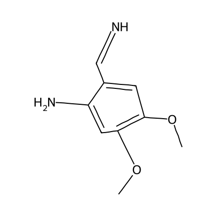 COc1cc(N)c(C=N)cc1OC